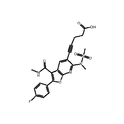 CNC(=O)c1c(-c2ccc(F)cc2)oc2nc(N(C)S(C)(=O)=O)c(C#CCCC(=O)O)cc12